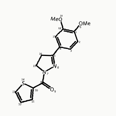 COc1ccc(C2=NN(C(=O)c3cccs3)CC2)cc1OC